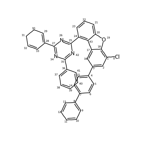 Clc1cc(-c2ccc(-c3ccccc3)cc2)cc2c1oc1cccc(-c3nc(C4=CCCC=C4)nc(-c4ccccc4)n3)c12